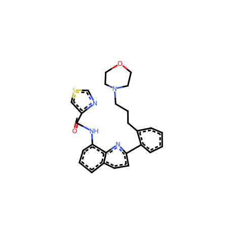 O=C(Nc1cccc2ccc(-c3ccccc3CCCN3CCOCC3)nc12)c1cscn1